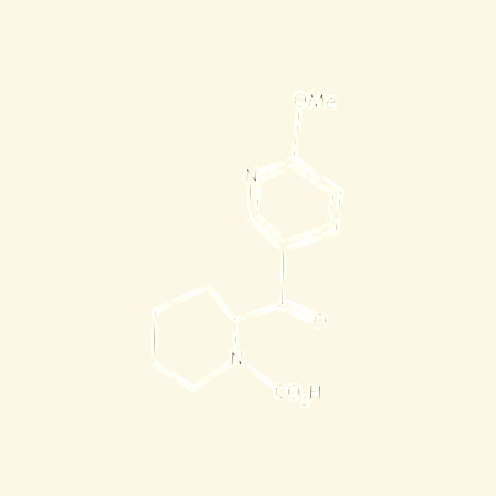 COc1ccc(C(=O)C2CCCCN2C(=O)O)cn1